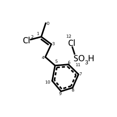 CC(Cl)=CCc1ccccc1.O=S(=O)(O)Cl